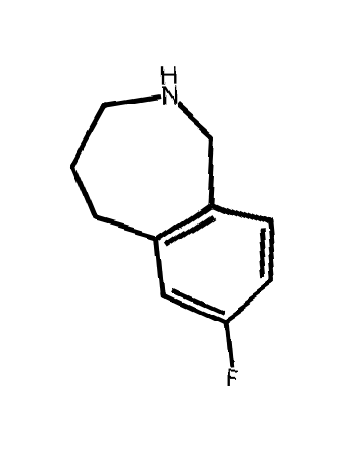 Fc1ccc2c(c1)CCCNC2